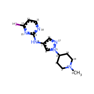 CN1CCC(n2cc(Nc3nccc(I)n3)cn2)CC1